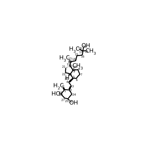 C=C1C(=CC=C2CCC[C@]3(C)[C@@H]([C@H](C)CCCC(C)(C)O)CC[C@@H]23)CC(O)CC1O